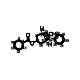 CN1[C@H]2C[C@H](OC(=O)c3ccccc3)C[C@@H]1[C@@H](c1ccccc1)C2